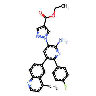 CCOC(=O)c1cnn(-c2cc(-c3ccc4nccc(C)c4c3)c(-c3ccc(F)cc3)nc2N)c1